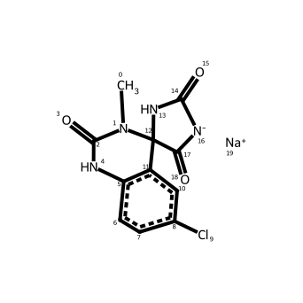 CN1C(=O)Nc2ccc(Cl)cc2C12NC(=O)[N-]C2=O.[Na+]